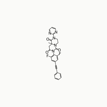 CC12CC(=O)N(c3c(F)cc(C#Cc4ccccc4)cc3F)C(=O)N1CCN(c1ncccn1)C2=O